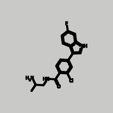 CC(N)CNC(=O)c1ccc(-c2c[nH]c3cc(F)ccc23)cc1Cl